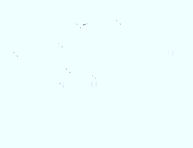 CC(C)(C)OC(=O)N1CC[C@H](Nc2cc(NCc3ccc(-c4ccccc4)cc3F)n3ncc(C#N)c3n2)C1